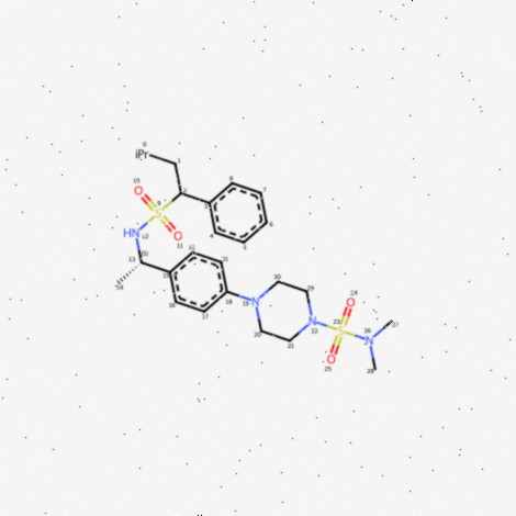 CC(C)CC(c1ccccc1)S(=O)(=O)N[C@@H](C)c1ccc(N2CCN(S(=O)(=O)N(C)C)CC2)cc1